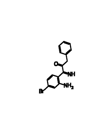 N=C(C(=O)Cc1ccccc1)c1ccc(Br)cc1N